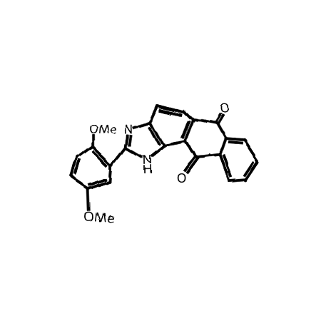 COc1ccc(OC)c(-c2nc3ccc4c(c3[nH]2)C(=O)c2ccccc2C4=O)c1